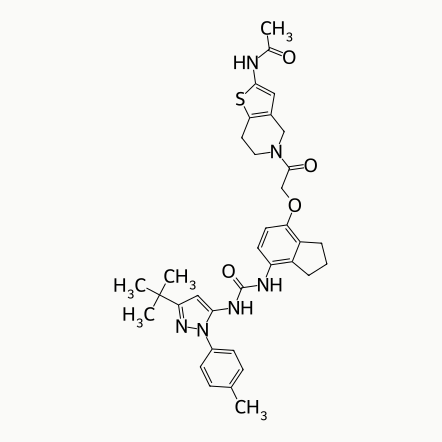 CC(=O)Nc1cc2c(s1)CCN(C(=O)COc1ccc(NC(=O)Nc3cc(C(C)(C)C)nn3-c3ccc(C)cc3)c3c1CCC3)C2